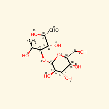 C[C@H](O)[C@H](O[C@@H]1O[C@H](CO)[C@H](O)[C@H](O)[C@H]1O)[C@@H](O)[C@H](O)C=O